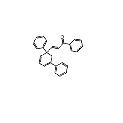 O=C(C=CC1(c2ccccc2)C=CC=C(c2ccccc2)C1)c1ccccc1